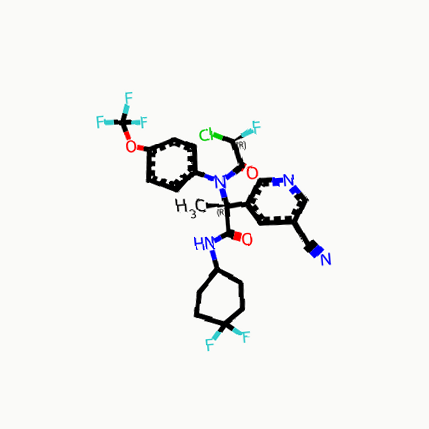 C[C@](C(=O)NC1CCC(F)(F)CC1)(c1cncc(C#N)c1)N(C(=O)[C@H](F)Cl)c1ccc(OC(F)(F)F)cc1